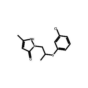 Cc1cc(=O)n(CC(C)Sc2cccc(Cl)c2)[nH]1